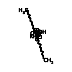 CCCCCCCCCCCOC(=O)CC(C(=O)OCCCCCCCCCCC)S(=O)(=O)O.[KH]